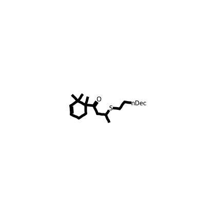 CCCCCCCCCCCCSC(C)CC(=O)C1(C)CCC=CC1(C)C